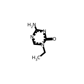 CCn1cnc(N)nc1=O